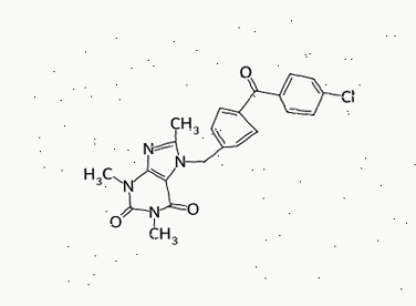 Cc1nc2c(c(=O)n(C)c(=O)n2C)n1Cc1ccc(C(=O)c2ccc(Cl)cc2)cc1